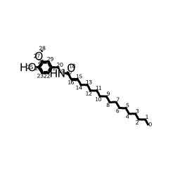 CCCCCCCCCCCCCCCC=CC(=O)NCc1ccc(O)c(OC)c1